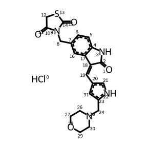 Cl.O=C1Nc2ccc(CN3C(=O)CSC3=O)cc2C1=Cc1c[nH]c(CN2CCOCC2)c1